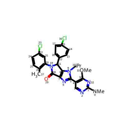 CNc1ncc(-c2nc3c(n2C(C)C)C(c2ccc(Cl)cc2)N(c2cc(Cl)ccc2C)C3=O)c(OC)n1